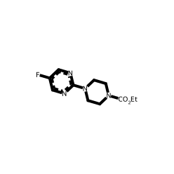 CCOC(=O)N1CCN(c2ncc(F)cn2)CC1